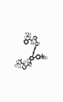 COC(=O)NC(C(=O)N1CCCC1c1ncc(C#CC#Cc2ccc(-c3cnc(C4CCCN4C(=O)[C@@H](NC(=O)OC)C(C)C)[nH]3)cc2-c2ccc(C(C)(C)C)cc2)[nH]1)c1ccccc1.Cl.Cl